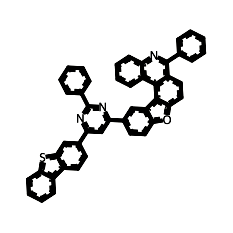 c1ccc(-c2nc(-c3ccc4c(c3)sc3ccccc34)cc(-c3ccc4oc5ccc6c(-c7ccccc7)nc7ccccc7c6c5c4c3)n2)cc1